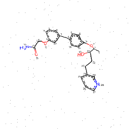 CC(Oc1ccc(-c2cccc(OCC(N)=O)c2)cc1)C(O)CCc1cccnc1